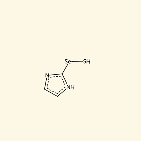 S[Se]c1ncc[nH]1